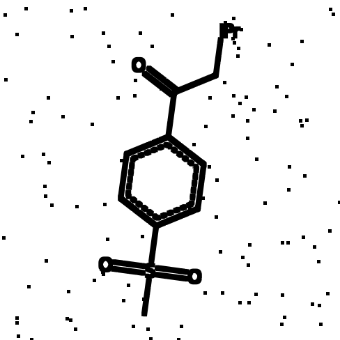 CC(C)CC(=O)c1ccc(S(C)(=O)=O)cc1